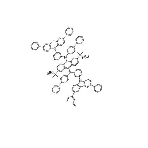 C=C/C=C(\C=C)c1ccc2c(c1)c1cc(-c3ccccc3)ccc1n2-c1cccc(N(c2ccc(-c3ccccc3)cc2)c2c3ccc(C(C)(C)CCCC)cc3c(N(c3ccc(-c4ccccc4)cc3)c3cccc(N4c5ccc(-c6ccccc6)cc5Cc5cc(-c6ccccc6)ccc54)c3)c3ccc(C(C)(C)CCCC)cc23)c1